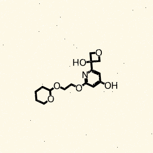 Oc1cc(OCCOC2CCCCO2)nc(C2(O)COC2)c1